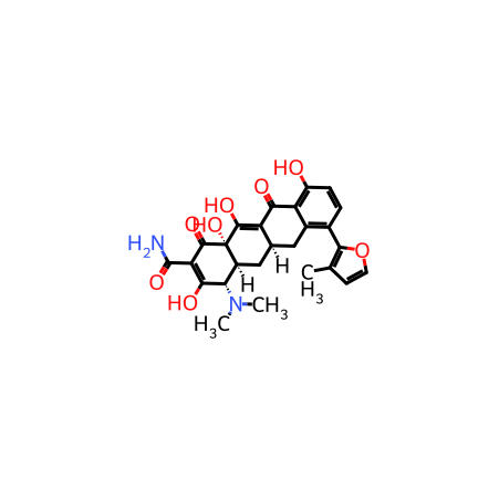 Cc1ccoc1-c1ccc(O)c2c1C[C@H]1C[C@H]3[C@H](N(C)C)C(O)=C(C(N)=O)C(=O)[C@@]3(O)C(O)=C1C2=O